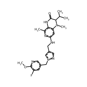 COc1ncc(Cn2cc(CNc3cc4c(c(C)n3)NC(=O)C(C(C)C)N4C)cn2)cc1F